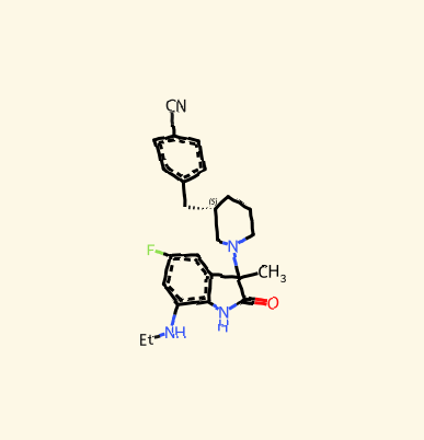 CCNc1cc(F)cc2c1NC(=O)C2(C)N1CCC[C@@H](Cc2ccc(C#N)cc2)C1